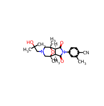 Cc1cc(N2C(=O)[C@@H]3[C@H](C2=O)[C@@]2(C)CN(CC(C)(C)O)C[C@]3(C)O2)ccc1C#N